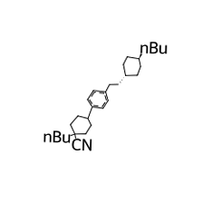 CCCCC1(C#N)CCC(c2ccc(CC[C@H]3CC[C@H](CCCC)CC3)cc2)CC1